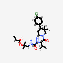 CCC(=O)OC(C)(C)CNC(=O)NC(C(=O)N1CCC(c2ccc(Cl)cc2)C(C)(C)C1)C(C)C